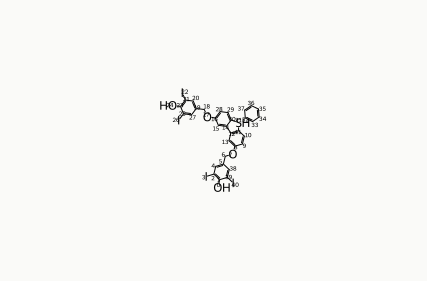 Oc1c(I)cc(COc2ccc3c(c2)-c2cc(OCc4cc(I)c(O)c(I)c4)ccc2[SH]3c2ccccc2)cc1I